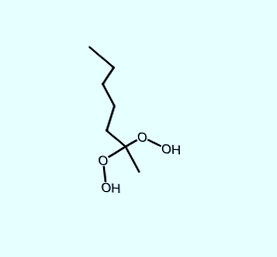 CCCCCC(C)(OO)OO